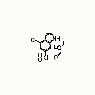 CCOC=O.Clc1cc(Cl)c2cc[nH]c2c1.[Li+].[OH-]